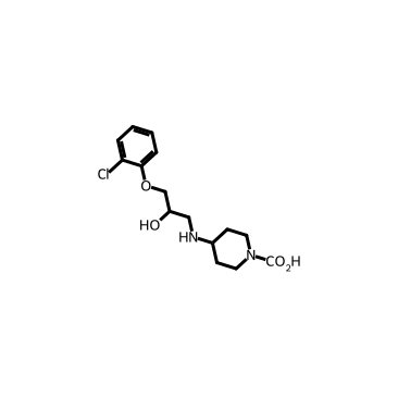 O=C(O)N1CCC(NCC(O)COc2ccccc2Cl)CC1